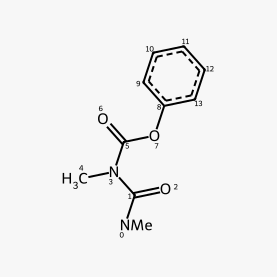 CNC(=O)N(C)C(=O)Oc1ccccc1